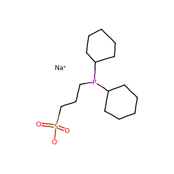 O=S(=O)([O-])CCCP(C1CCCCC1)C1CCCCC1.[Na+]